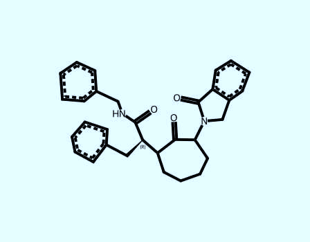 O=C1C([C@@H](Cc2ccccc2)C(=O)NCc2ccccc2)CCCCC1N1Cc2ccccc2C1=O